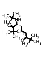 CC(C)(C)N[C@H](CCCC(=O)C(C)(C)C)C(=O)C(C)(C)C